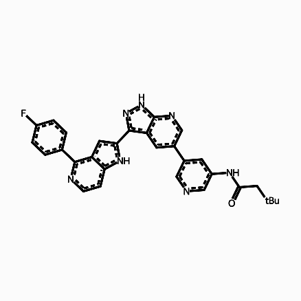 CC(C)(C)CC(=O)Nc1cncc(-c2cnc3[nH]nc(-c4cc5c(-c6ccc(F)cc6)nccc5[nH]4)c3c2)c1